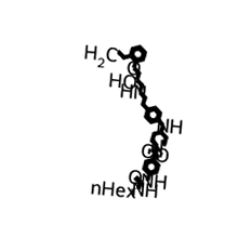 C=CCc1ccccc1OCC(O)CNCCc1ccc(NC2CCN(S(=O)(=O)c3ccc(NC(=O)NCCCCCC)cc3)CC2)cc1